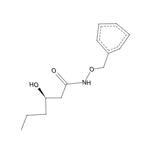 CCC[C@@H](O)CC(=O)NOCc1ccccc1